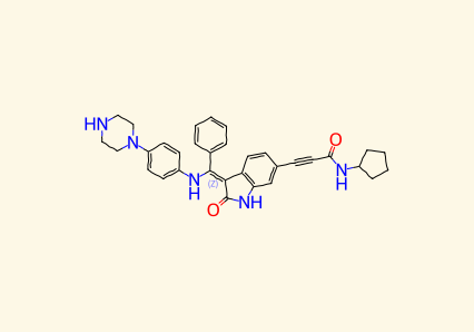 O=C(C#Cc1ccc2c(c1)NC(=O)/C2=C(\Nc1ccc(N2CCNCC2)cc1)c1ccccc1)NC1CCCC1